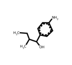 CCC(C)C(O)c1ccc(N)cc1